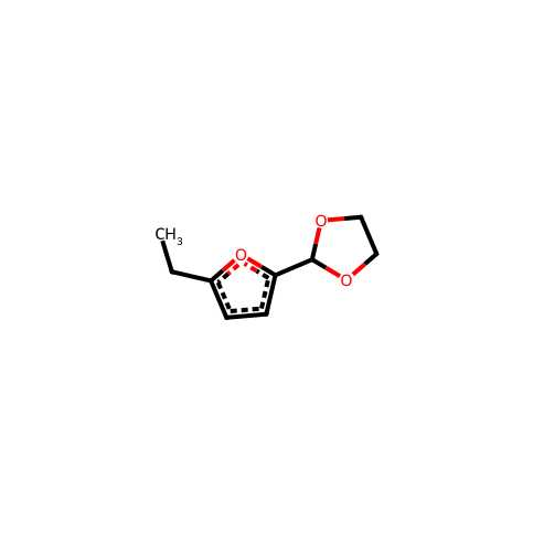 CCc1ccc(C2OCCO2)o1